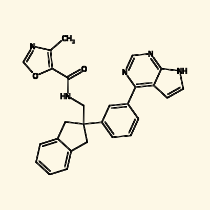 Cc1ncoc1C(=O)NCC1(c2cccc(-c3ncnc4[nH]ccc34)c2)Cc2ccccc2C1